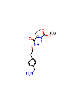 CC(C)C[C@@H](NC(=O)OC(C)(C)C)C(=O)NOCCc1ccc(CN)cc1